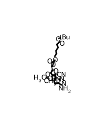 CC(C)(C)OC(=O)CCCCCOC(=O)OC[C@H]1O[C@@](C#N)(c2ccc3c(N)ncnn23)[C@@H]2OC(C)(C)OC21